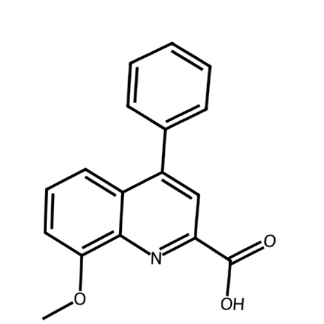 COc1cccc2c(-c3ccccc3)cc(C(=O)O)nc12